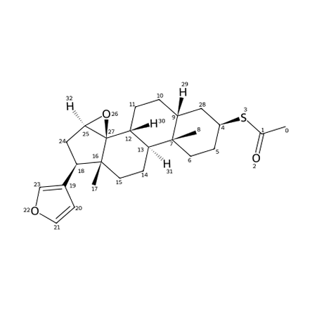 CC(=O)S[C@H]1CC[C@@]2(C)[C@H](CC[C@@H]3[C@@H]2CC[C@]2(C)[C@@H](c4ccoc4)C[C@H]4O[C@]342)C1